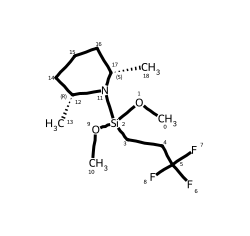 CO[Si](CCC(F)(F)F)(OC)N1[C@H](C)CCC[C@@H]1C